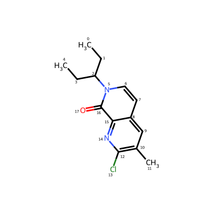 CCC(CC)n1ccc2cc(C)c(Cl)nc2c1=O